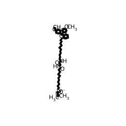 COc1ccc(C(OCCCCCCCCCCCCNC(=O)CNC(=O)CCCCCCCCCCC/[P+]([O-])=N/C(C)C)(c2ccccc2)c2ccc(OC)cc2)cc1